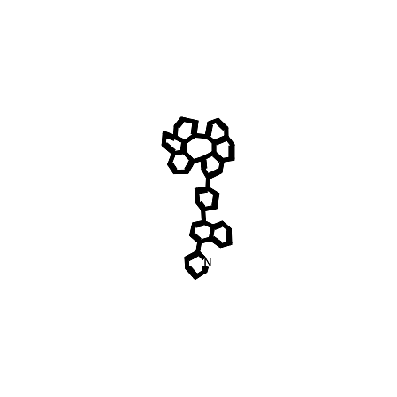 c1ccc(-c2ccc(-c3ccc(-c4cc5ccc6cccc7c8cccc9ccc%10cccc(c(c4)c5c67)c%10c98)cc3)c3ccccc23)nc1